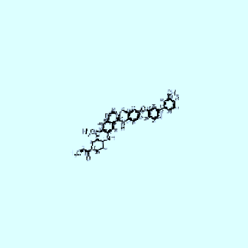 C=CC(=O)N1CCC(Nc2cc3c(Nc4ccc(Oc5ccnc(-c6cccc(C)c6)c5)cc4F)ncnc3cc2OC)CC1